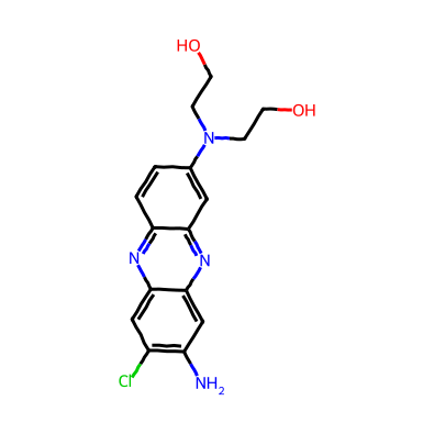 Nc1cc2nc3cc(N(CCO)CCO)ccc3nc2cc1Cl